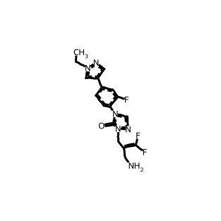 CCn1cc(-c2ccc(-n3cnn(CC(CN)=C(F)F)c3=O)c(F)c2)cn1